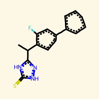 CC(c1n[nH]c(=S)[nH]1)c1ccc(-c2ccccc2)cc1F